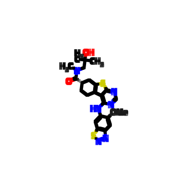 COc1cc2nnsc2cc1Nc1ncnc2sc3c(c12)CC[C@H](C(=O)N(C)CC(C)(C)O)C3